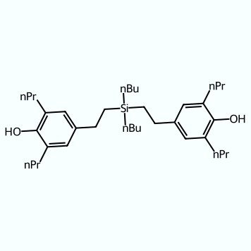 CCCC[Si](CCCC)(CCc1cc(CCC)c(O)c(CCC)c1)CCc1cc(CCC)c(O)c(CCC)c1